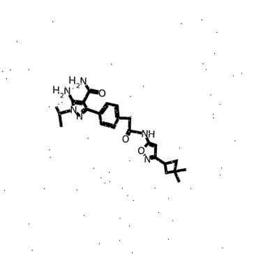 CC(C)n1nc(-c2ccc(CC(=O)Nc3cc(C4CC(C)(C)C4)no3)cc2)c(C(N)=O)c1N